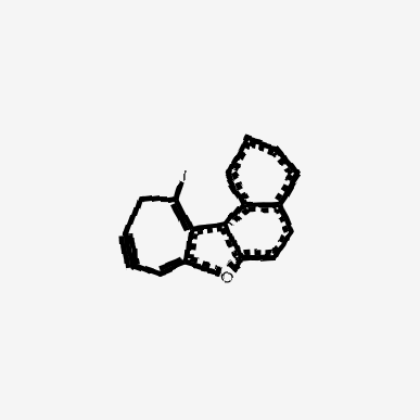 IC1=c2c(oc3ccc4ccccc4c23)=CC#CC1